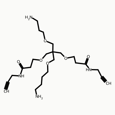 C#CCNC(=O)CCOCC(COCCCN)(COCCCCN)COCCC(=O)NCC#C